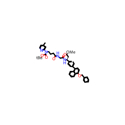 C=C(/C=C\C(=C/C)c1ccc(OCc2ccccc2)c2ccccc12)[C@H](CC(=O)OC)NC(=O)CNC(=O)CCCN(C(=O)OC(C)(C)C)c1cc(C)ccn1